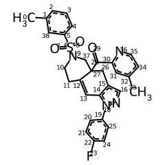 Cc1cccc(S(=O)(=O)N2CCC3=Cc4c(cnn4-c4ccc(F)cc4)CC3(C(=O)c3cc(C)ccn3)C2)c1